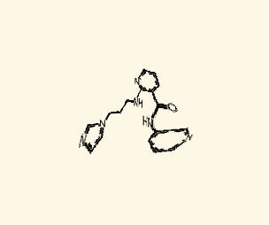 O=C(Nc1cccnc1)c1cccnc1NCCCn1ccnc1